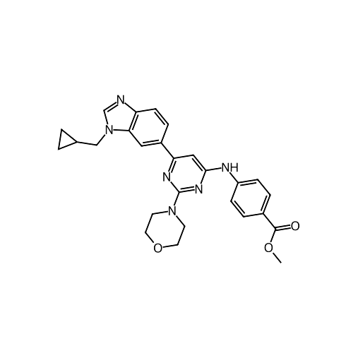 COC(=O)c1ccc(Nc2cc(-c3ccc4ncn(CC5CC5)c4c3)nc(N3CCOCC3)n2)cc1